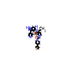 C=CCC1(C(=O)Nc2ccc3[nH]nc(-c4ccncc4C)c3c2)CCN(CC(=O)N2CC=C(c3ccsc3)CC2)C1